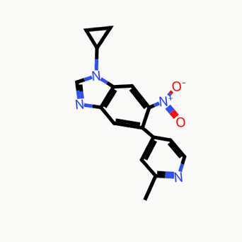 Cc1cc(-c2cc3ncn(C4CC4)c3cc2[N+](=O)[O-])ccn1